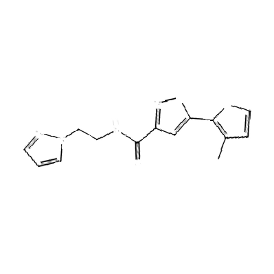 Cc1ccsc1-c1cc(C(=O)NCCn2cccn2)no1